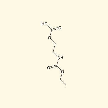 CCOC(=O)NCCOC(=O)O